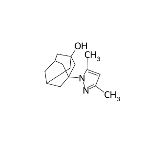 Cc1cc(C)n(C23CC4CC(CC(O)(C4)C2)C3)n1